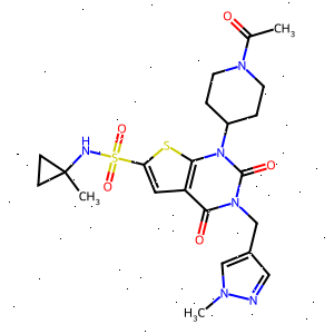 CC(=O)N1CCC(n2c(=O)n(Cc3cnn(C)c3)c(=O)c3cc(S(=O)(=O)NC4(C)CC4)sc32)CC1